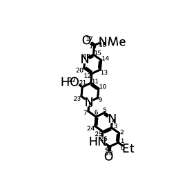 CCc1cc2ncc(CN3CC=C(c4ccc(C(=O)NC)nc4)C(O)C3)cc2[nH]c1=O